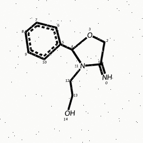 N=C1COC(c2ccccc2)N1CCO